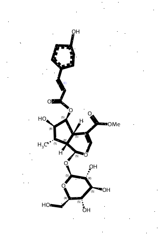 COC(=O)C1=CO[C@@H](O[C@@H]2O[C@H](CO)[C@@H](O)[C@H](O)[C@H]2O)[C@@H]2[C@H](C)[C@@H](O)[C@@H](OC(=O)/C=C/c3ccc(O)cc3)[C@H]12